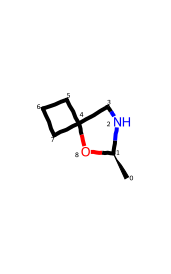 C[C@@H]1NCC2(CCC2)O1